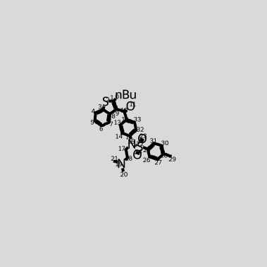 CCCCc1sc2ccccc2c1C(=O)c1ccc(N(CCN(C)C)S(=O)(=O)c2ccc(C)cc2)cc1